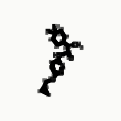 C[C@@H](C(=O)Nc1ccc(OCC2CC2)nn1)C1CCC(F)(F)CC1